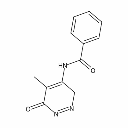 CC1=C(NC(=O)c2ccccc2)CN=NC1=O